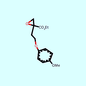 CCOC(=O)C1(CCOc2ccc(OC)cc2)CO1